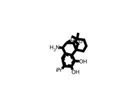 CC(C)c1cc2c(c(O)c1O)C13CCCC(C)(C)C1C(OC3=O)C2N